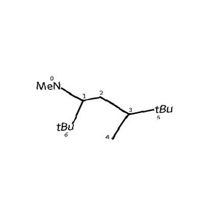 CNC(CC(C)C(C)(C)C)C(C)(C)C